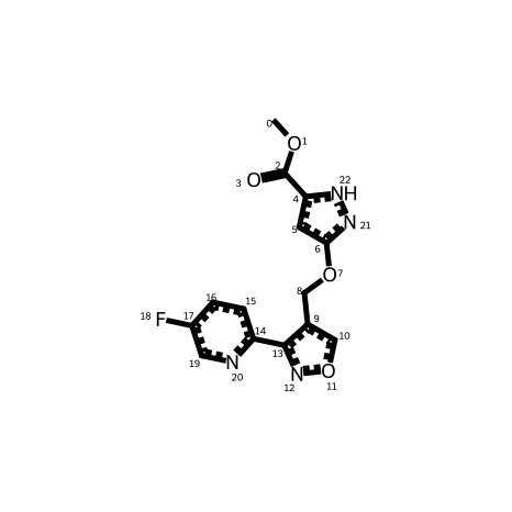 COC(=O)c1cc(OCc2conc2-c2ccc(F)cn2)n[nH]1